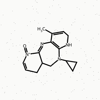 CC1=CCNC2=C1N=C1C(CC=C[N+]1=O)CN2C1CC1